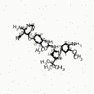 COc1cc(-n2nc(C(C)(C)C)cc2NC(=O)Nc2ccc(Oc3ncnc(N)c3C#N)cc2C)ccc1N